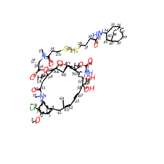 COc1cc2cc(c1Cl)N(C)C(=O)C[C@H](OC(=O)[C@H](C)N(C)C(=O)CCSSCCCC(=O)NC1CC3CCCC(CC3)C1)[C@@]1(C)CC(C)(O1)[C@@H]1C[C@@](O)(NC(=O)O1)[C@H](O)/C=C/C=C(\C)C2